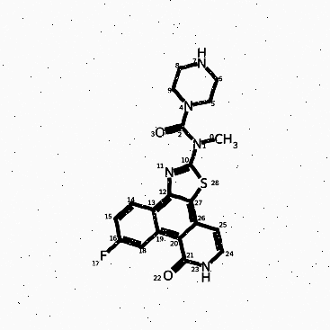 CN(C(=O)N1CCNCC1)c1nc2c3ccc(F)cc3c3c(=O)[nH]ccc3c2s1